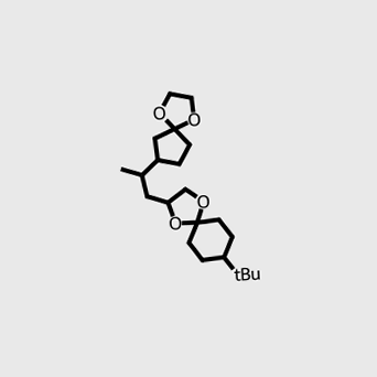 CC(CC1COC2(CCC(C(C)(C)C)CC2)O1)C1CCC2(C1)OCCO2